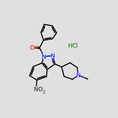 CN1CCC(c2nn(C(=O)c3ccccc3)c3ccc([N+](=O)[O-])cc23)CC1.Cl